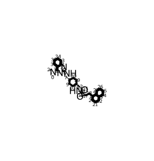 CN(C)c1nc(NC[C@H]2CC[C@H](CNS(=O)(=O)CCc3cccc4ccccc34)CC2)nc2ccccc12